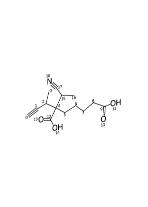 C#CC(C)C(CCCCC(=O)O)(C(=O)O)C(C)C#N